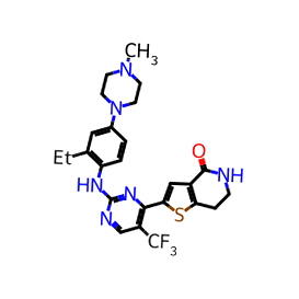 CCc1cc(N2CCN(C)CC2)ccc1Nc1ncc(C(F)(F)F)c(-c2cc3c(s2)CCNC3=O)n1